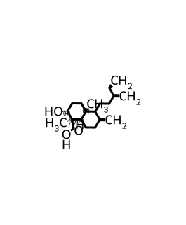 C=CC(=C)CCC1C(=C)CC[C@H]2[C@@](C)(C(=O)O)[C@H](O)CC[C@]12C